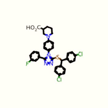 O=C(O)C1CCCN(c2ccc(-n3c(SC(c4ccc(Cl)cc4)c4ccc(Cl)cc4)nnc3-c3cccc(F)c3)cc2)C1